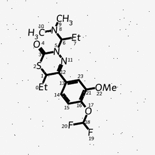 CCC1SC(=O)N(C(CC)N(C)C)N=C1c1ccc(OC(F)F)c(OC)c1